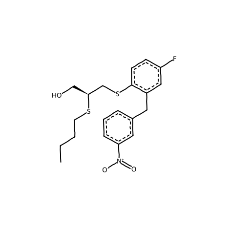 CCCCS[C@@H](CO)CSc1ccc(F)cc1Cc1cccc([N+](=O)[O-])c1